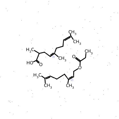 CC(C)=CCC/C(C)=C\CC(C)C(=O)O.CCC(=O)OC/C=C(/C)CCC=C(C)C